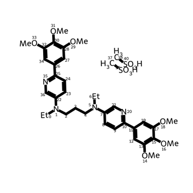 CCN(CCCN(CC)c1ccc(-c2cc(OC)c(OC)c(OC)c2)nc1)c1ccc(-c2cc(OC)c(OC)c(OC)c2)nc1.CS(=O)(=O)O.CS(=O)(=O)O